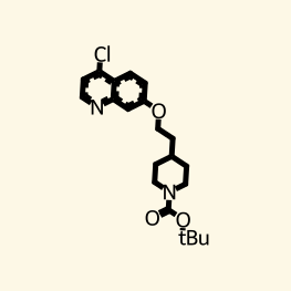 CC(C)(C)OC(=O)N1CCC(CCOc2ccc3c(Cl)ccnc3c2)CC1